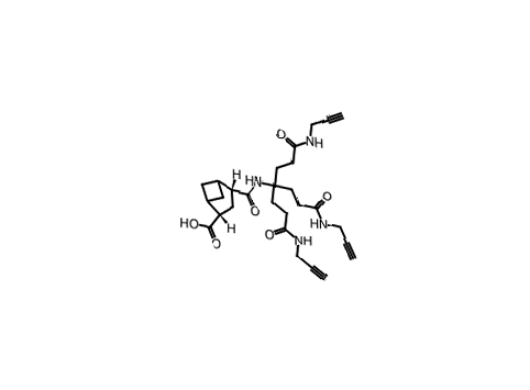 C#CCNC(=O)CCC(CCC(=O)NCC#C)(CCC(=O)NCC#C)NC(=O)[C@@H]1C[C@H](C(=O)O)C2CC1C2